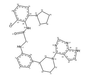 O=C(CNc1cccc(C2CCCN(c3ncnc4[nH]ccc34)C2)c1)Nc1c(Cl)cccc1N1CCCC1